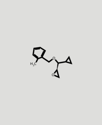 Cc1ccccc1COC(C1CC1)[C@H]1CO1